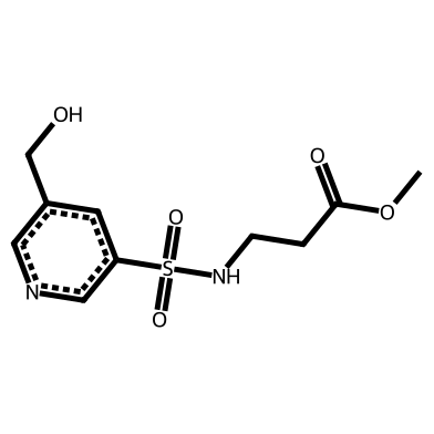 COC(=O)CCNS(=O)(=O)c1cncc(CO)c1